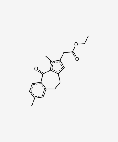 CCOC(=O)Cc1cc2c(n1C)C(=O)c1ccc(C)cc1CC2